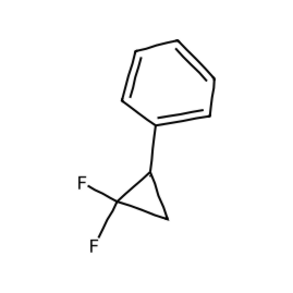 FC1(F)C[C]1c1ccccc1